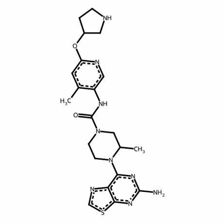 Cc1cc(OC2CCNC2)ncc1NC(=O)N1CCN(c2nc(N)nc3scnc23)C(C)C1